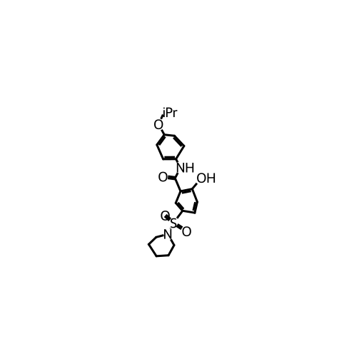 CC(C)Oc1ccc(NC(=O)c2cc(S(=O)(=O)N3CCCCC3)ccc2O)cc1